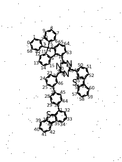 c1ccc(C2(c3ccccc3)c3ccccc3-c3c(-c4nc(-c5cccc(-c6ccc(-c7cccc8c7sc7ccccc78)cc6)c5)nc(-c5cccc6c5sc5ccccc56)n4)cccc32)cc1